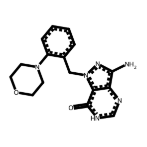 Nc1nn(Cc2ccccc2N2CCOCC2)c2c(=O)[nH]cnc12